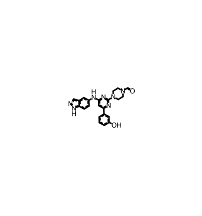 O=CN1CCN(c2nc(Nc3ccc4[nH]ncc4c3)cc(-c3cccc(O)c3)n2)CC1